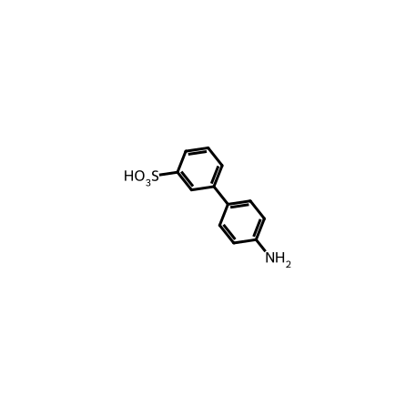 Nc1ccc(-c2cccc(S(=O)(=O)O)c2)cc1